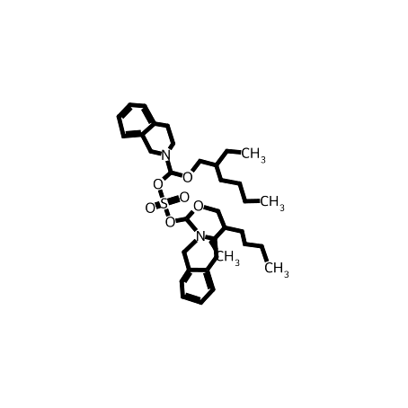 CCCCC(CC)COC(OS(=O)(=O)OC(OCC(CC)CCCC)N1CCc2ccccc2C1)N1CCc2ccccc2C1